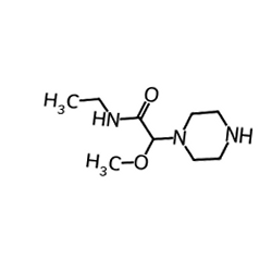 CCNC(=O)C(OC)N1CCNCC1